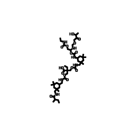 CCNC(=O)OCC(NCOCC(=O)C(C)O)OC(=O)NC1CC(C)(C)CC(C)(CNC(=O)OCC(CC)(COC(=O)NCC2CC(C)(C)CC(C)(CNC(=O)C(C)CC)C2)C(=O)O)C1